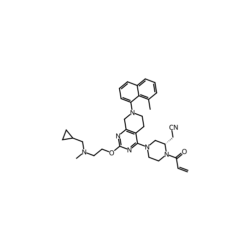 C=CC(=O)N1CCN(c2nc(OCCN(C)CC3CC3)nc3c2CCN(c2cccc4cccc(C)c24)C3)C[C@@H]1CC#N